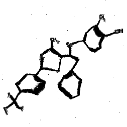 Cc1cc([Se]C(Cc2ccccc2)c2sc(-c3ccc(C(F)(F)F)cc3)nc2C)ccc1O